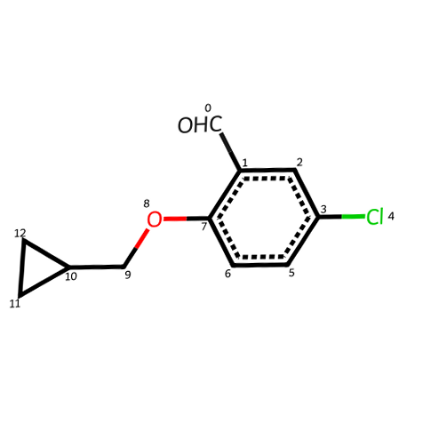 O=Cc1cc(Cl)ccc1OCC1CC1